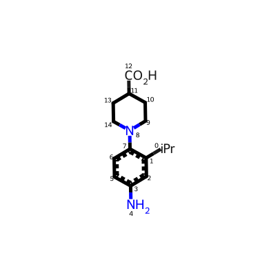 CC(C)c1cc(N)ccc1N1CCC(C(=O)O)CC1